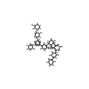 Cc1cccc(-c2ccc(-c3nc(-c4ccccc4)nc(-c4cccc(-c5cccc6c5[nH]c5c(-c7ccc(-c8ccccc8)cc7)cccc56)c4)n3)cc2)c1